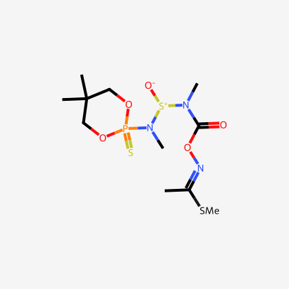 CSC(C)=NOC(=O)N(C)[S+]([O-])N(C)P1(=S)OCC(C)(C)CO1